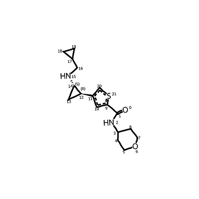 O=C(NC1CCOCC1)c1cc([C@H]2C[C@@H]2NCC2CC2)cs1